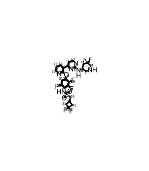 C[C@@]1(F)CNC[C@@H](Nc2nccc(-c3cccnc3Oc3cc(F)c(NS(=O)(=O)CC4CC(F)(F)C4)c(F)c3F)n2)C1